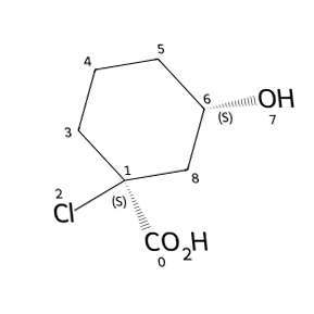 O=C(O)[C@]1(Cl)CCC[C@H](O)C1